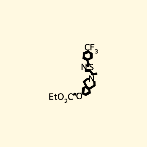 CCOC(=O)COc1ccc2c(c1)CCN(C(C)c1cnc(-c3ccc(C(F)(F)F)cc3)s1)CC2